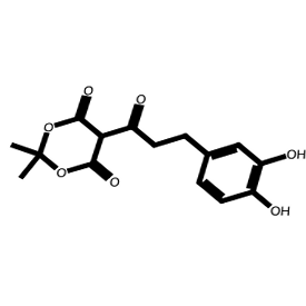 CC1(C)OC(=O)C(C(=O)CCc2ccc(O)c(O)c2)C(=O)O1